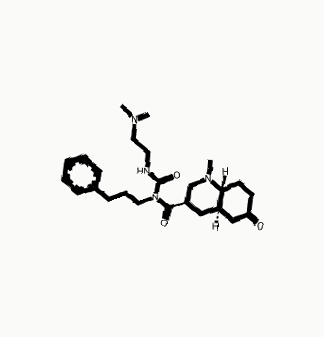 CN(C)CCNC(=O)N(CCCc1ccccc1)C(=O)[C@@H]1C[C@@H]2CC(=O)CC[C@H]2N(C)C1